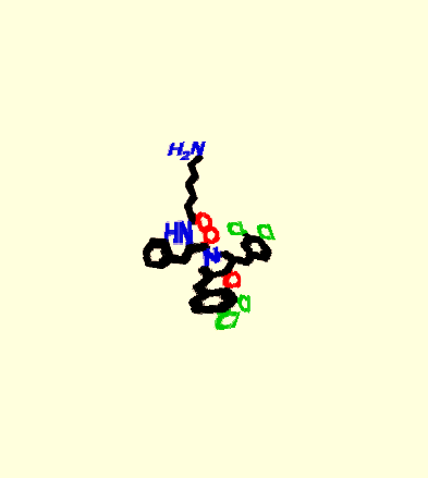 NCCCCCCC(=O)NC(Cc1ccccc1)C(=O)N1CC(=Cc2ccc(Cl)c(Cl)c2)C(=O)C(=Cc2ccc(Cl)c(Cl)c2)C1